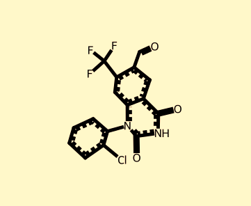 O=Cc1cc2c(=O)[nH]c(=O)n(-c3ccccc3Cl)c2cc1C(F)(F)F